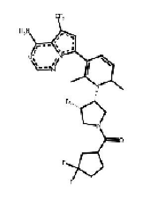 CC1=C(c2cc(C(F)(F)F)c3c(N)ncnn23)C=CC(C)N1[C@@H]1CN(C(=O)C2CCC(F)(F)C2)C[C@@H]1F